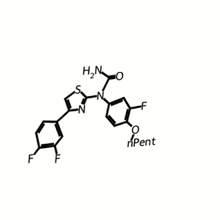 CCCCCOc1ccc(N(C(N)=O)c2nc(-c3ccc(F)c(F)c3)cs2)cc1F